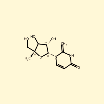 C=C1NC(=O)C=CN1[C@@H]1O[C@](C)(CO)C(O)[C@@H]1O